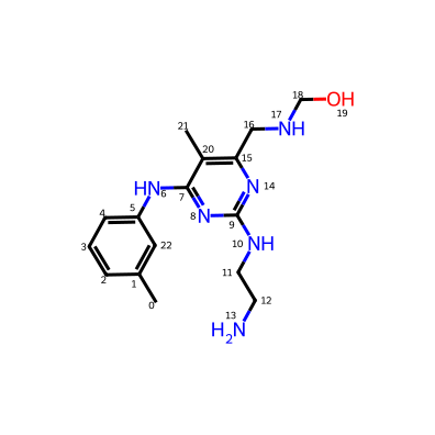 Cc1cccc(Nc2nc(NCCN)nc(CNCO)c2C)c1